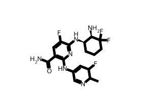 CC1N=CC(Nc2nc(N[C@@H]3CCCC(F)(F)[C@@H]3N)c(F)cc2C(N)=O)=CC1F